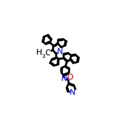 CC1C(c2ccccc2)=c2ccccc2=NC1c1ccccc1-c1ccc2ccccc2c1-c1ccc2nc(-c3ccncc3)oc2c1